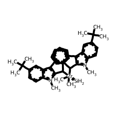 Cn1c2c(c3cc(C(C)(C)C)ccc31)-c1ccccc1[CH]2[Zr]([CH3])([CH3])(=[SiH2])[CH]1c2ccccc2-c2c1n(C)c1ccc(C(C)(C)C)cc21